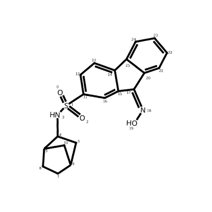 O=S(=O)(NC1CC2CCC1C2)c1ccc2c(c1)C(=NO)c1ccccc1-2